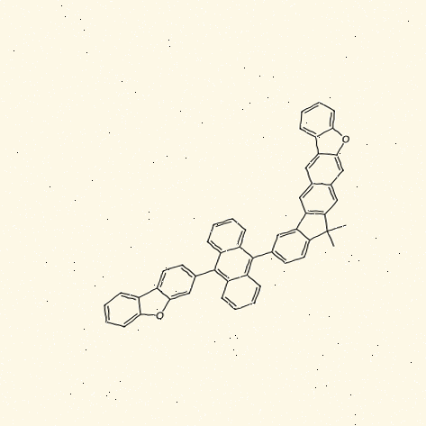 CC1(C)c2ccc(-c3c4ccccc4c(-c4ccc5c(c4)oc4ccccc45)c4ccccc34)cc2-c2cc3cc4c(cc3cc21)oc1ccccc14